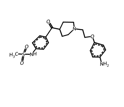 CS(=O)(=O)Nc1ccc(C(=O)C2CCN(CCOc3ccc(N)cc3)CC2)cc1